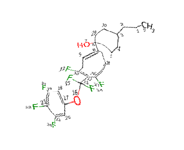 CCCC1CCC(O)(c2cc(F)c(C(F)(F)Oc3cc(F)c(F)c(F)c3)c(F)c2)CC1